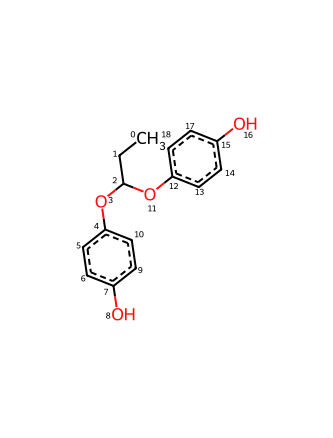 CCC(Oc1ccc(O)cc1)Oc1ccc(O)cc1